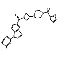 Cc1cccc(-n2ccc3cc(C(=O)N4CC(N5CCN(C(=O)c6nccs6)CC5)C4)ccc32)n1